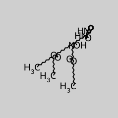 CCCCCCCCCCCOC(=O)CCCCCN(CCCCCCCC(=O)OC(CCCCCCCC)CCCCCCCC)CC(O)CCCCNC(=O)c1cc2ccccc2[nH]1